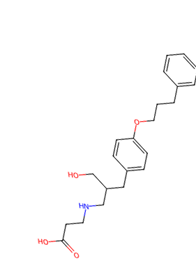 O=C(O)CCNCC(CO)Cc1ccc(OCCCc2ccccc2)cc1